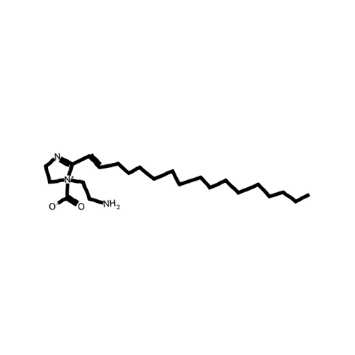 CCCCCCCCCCCCCCCC=CC1=NCC[N+]1(CCN)C(=O)[O-]